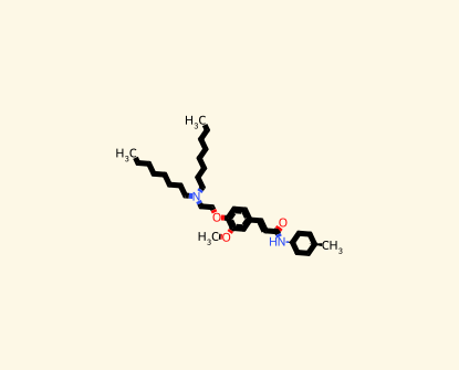 CCCCCCCCN(CCCCCCCC)CCOc1ccc(C=CC(=O)N[C@H]2CC[C@H](C)CC2)cc1OC